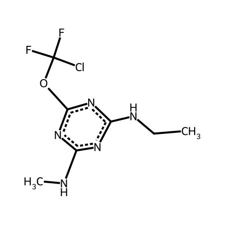 CCNc1nc(NC)nc(OC(F)(F)Cl)n1